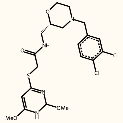 COC1=CC(SCC(=O)NC[C@H]2CN(Cc3ccc(Cl)c(Cl)c3)CCO2)=NC(OC)N1